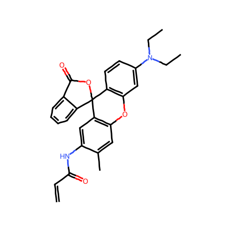 C=CC(=O)Nc1cc2c(cc1C)Oc1cc(N(CC)CC)ccc1C21OC(=O)c2ccccc21